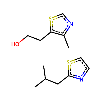 CC(C)Cc1nccs1.Cc1ncsc1CCO